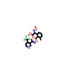 CO/N=C(/C(=O)OC)c1cccc(C)c1CO/N=C(\C)c1cnccc1C(F)(F)F